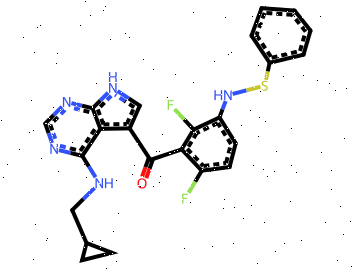 O=C(c1c(F)ccc(NSc2ccccc2)c1F)c1c[nH]c2ncnc(NCC3CC3)c12